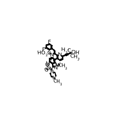 CN1CCN(N(c2nn(C)c3c(-c4ccc(C#CC(C)(C)O)nc4C(Cc4cc(F)cc(F)c4)NC(=O)O)cccc23)[SH](=O)=O)CC1